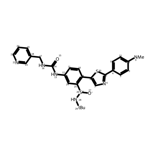 CNc1ccc(-c2ncc(-c3ccc(NC(=O)NCc4cccnc4)cc3[S+]([O-])NC(C)(C)C)s2)cc1